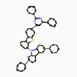 c1ccc(-c2ccc3c(c2)c2ccc(-c4ccccc4)cc2n3-c2cccc3c2sc2cc(-c4cc(-c5ccccc5)nc(-c5ccccc5)n4)ccc23)cc1